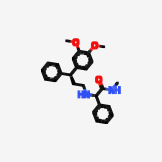 CNC(=O)[C@H](NCC[C@@H](c1ccccc1)c1ccc(OC)c(OC)c1)c1ccccc1